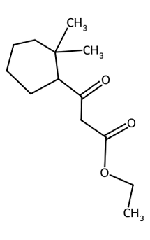 CCOC(=O)CC(=O)C1CCCCC1(C)C